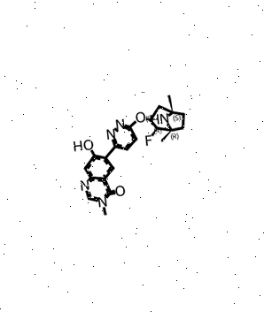 Cn1cnc2cc(O)c(-c3ccc(O[C@H]4C[C@]5(C)CC[C@@](C)(N5)[C@H]4F)nn3)cc2c1=O